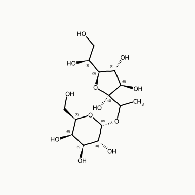 CC(O[C@H]1O[C@H](CO)[C@H](O)[C@H](O)[C@H]1O)[C@@]1(O)O[C@@H]([C@@H](O)CO)[C@H](O)[C@H]1O